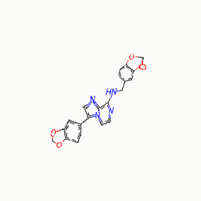 c1cn2c(-c3ccc4c(c3)OCO4)cnc2c(NCc2ccc3c(c2)OCO3)n1